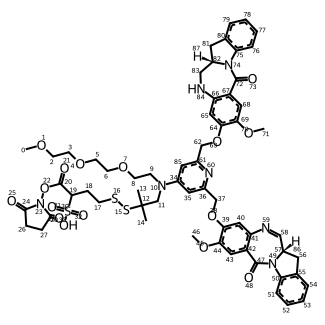 COCCOCCOCCN(CC(C)(C)SSCCC(C(=O)ON1C(=O)CCC1=O)S(=O)(=O)O)c1cc(COc2cc3c(cc2OC)C(=O)N2c4ccccc4C[C@H]2C=N3)nc(COc2cc3c(cc2OC)C(=O)N2c4ccccc4C[C@H]2CN3)c1